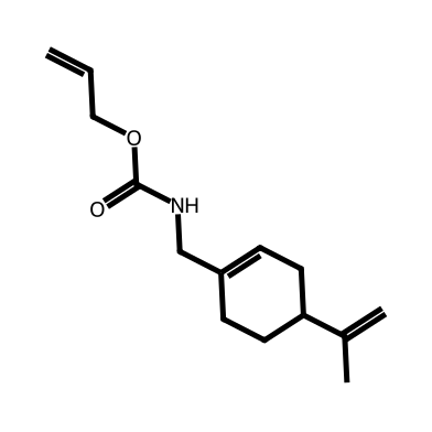 C=CCOC(=O)NCC1=CCC(C(=C)C)CC1